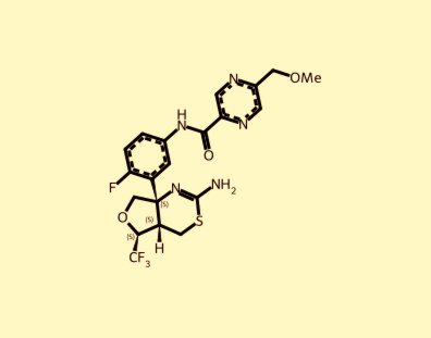 COCc1cnc(C(=O)Nc2ccc(F)c([C@]34CO[C@H](C(F)(F)F)[C@H]3CSC(N)=N4)c2)cn1